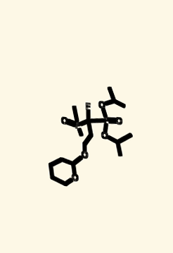 CC(C)OP(=O)(OC(C)C)C(F)(CCOC1CCCCO1)P(C)(C)=O